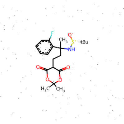 CC1(C)OC(=O)C(CCC(C)(N[S@+]([O-])C(C)(C)C)c2ccccc2F)C(=O)O1